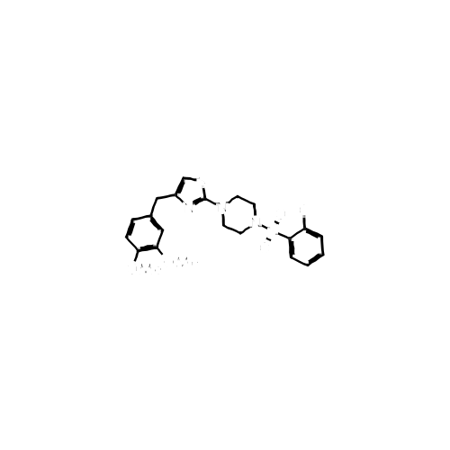 COc1ccc(Cc2csc(N3CCN(S(=O)(=O)c4ccccc4Cl)CC3)n2)cc1OC